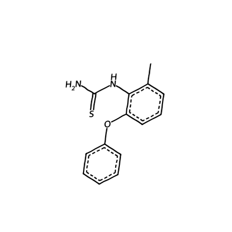 Cc1cccc(Oc2ccccc2)c1NC(N)=S